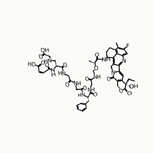 CC[C@@]1(O)C(=O)OCc2c1cc1n(c2=O)Cc2c-1nc1cc(F)c(C)c3c1c2[C@@H](NC(=O)[C@H](C)OCNC(=O)CNC(=O)[C@H](Cc1ccccc1)NC(=O)CNC(=O)CNC(=O)[C@H](CNCC(=O)O)NC(=O)/C=C\C(=O)O)CC3